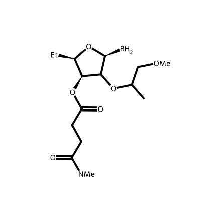 B[C@@H]1O[C@H](CC)[C@H](OC(=O)CCC(=O)NC)C1OC(C)COC